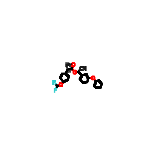 CC(C)[C@H](C(=O)OC(C#N)c1cccc(Oc2ccccc2)c1)c1ccc(OC(F)F)cc1